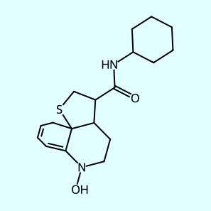 O=C(NC1CCCCC1)C1CSC23CC=CC=C2N(O)CCC13